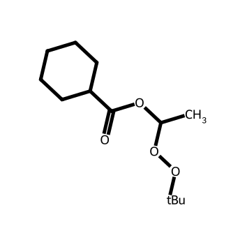 CC(OOC(C)(C)C)OC(=O)C1CCCCC1